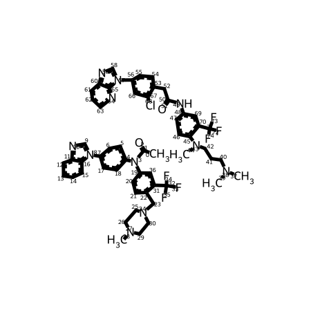 CC(=O)N(c1ccc(-n2cnc3ccccc32)cc1)c1ccc(CN2CCN(C)CC2)c(C(F)(F)F)c1.CN(C)CCCN(C)c1ccc(NC(=O)Cc2ccc(-n3cnc4cccnc43)cc2Cl)cc1C(F)(F)F